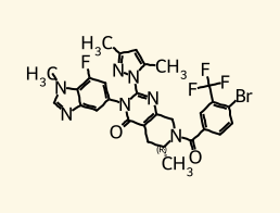 Cc1cc(C)n(-c2nc3c(c(=O)n2-c2cc(F)c4c(c2)ncn4C)C[C@@H](C)N(C(=O)c2ccc(Br)c(C(F)(F)F)c2)C3)n1